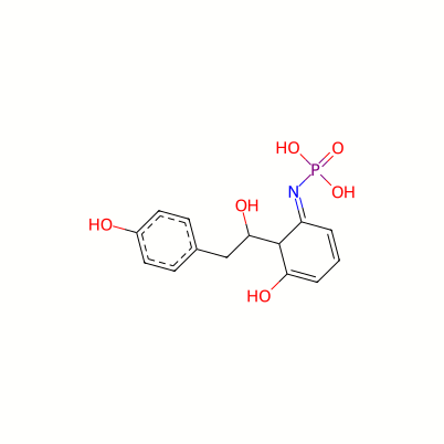 O=P(O)(O)/N=C1\C=CC=C(O)C1C(O)Cc1ccc(O)cc1